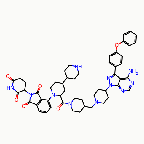 Nc1ncnc2c1c(-c1ccc(Oc3ccccc3)cc1)nn2C1CCN(CC2CCN(C(=O)C3CC(C4CCNCC4)CCN3c3cccc4c3C(=O)N(C3CCC(=O)NC3=O)C4=O)CC2)CC1